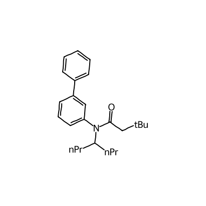 CCCC(CCC)N(C(=O)CC(C)(C)C)c1cccc(-c2ccccc2)c1